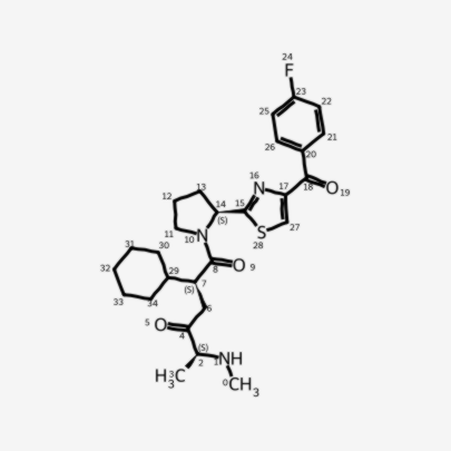 CN[C@@H](C)C(=O)C[C@H](C(=O)N1CCC[C@H]1c1nc(C(=O)c2ccc(F)cc2)cs1)C1CCCCC1